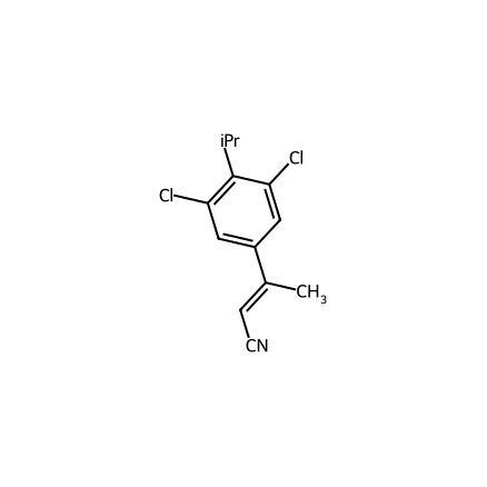 C/C(=C\C#N)c1cc(Cl)c(C(C)C)c(Cl)c1